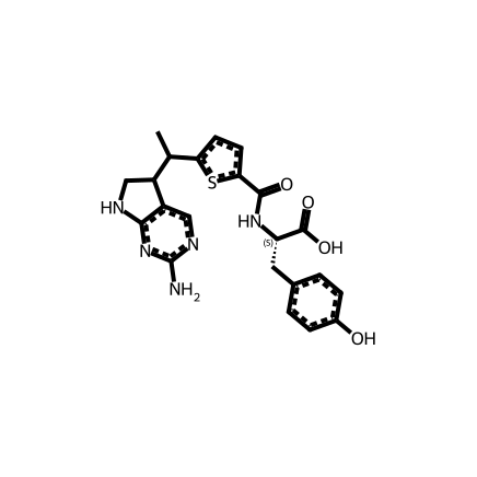 CC(c1ccc(C(=O)N[C@@H](Cc2ccc(O)cc2)C(=O)O)s1)C1CNc2nc(N)ncc21